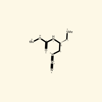 CSC[C@H](CN=[N+]=[N-])NC(=O)OC(C)(C)C